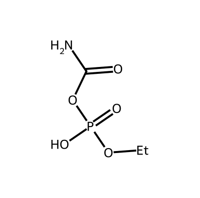 CCOP(=O)(O)OC(N)=O